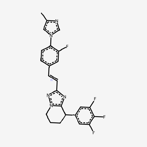 Cc1cn(-c2ccc(/C=C/c3nc4n(n3)CCCC4c3cc(F)c(F)c(F)c3)cc2F)cn1